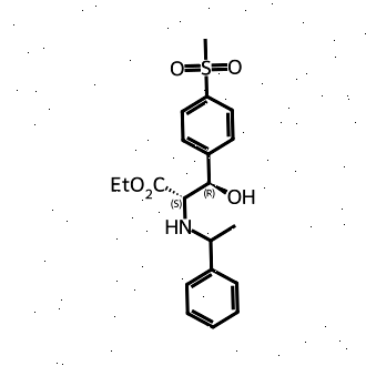 CCOC(=O)[C@@H](NC(C)c1ccccc1)[C@H](O)c1ccc(S(C)(=O)=O)cc1